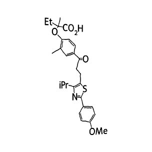 CCC(C)(Oc1ccc(C(=O)CCc2sc(-c3ccc(OC)cc3)nc2C(C)C)cc1C)C(=O)O